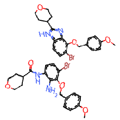 COc1ccc(COc2c(Br)ccc(NC(=O)C3CCOCC3)c2N)cc1.COc1ccc(COc2c(Br)ccc3[nH]c(C4CCOCC4)nc23)cc1